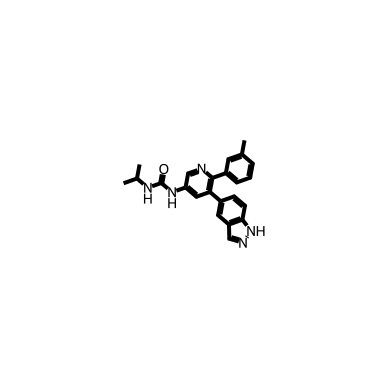 Cc1cccc(-c2ncc(NC(=O)NC(C)C)cc2-c2ccc3[nH]ncc3c2)c1